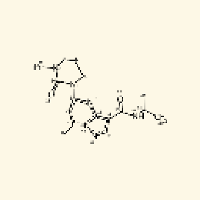 Cc1cc(N2CCCN(C(C)C)C2=O)nc2c(C(=O)NC(C)C(F)(F)F)cnn12